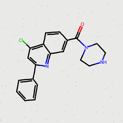 O=C(c1ccc2c(Cl)cc(-c3ccccc3)nc2c1)N1CCNCC1